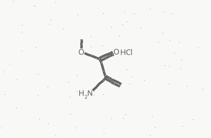 C=C(N)C(=O)OC.Cl